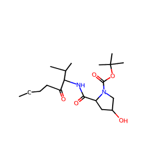 CCCCC(=O)C(NC(=O)C1CC(O)CN1C(=O)OC(C)(C)C)C(C)C